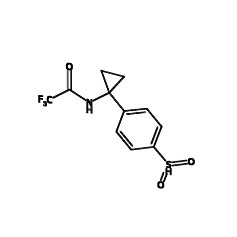 O=C(NC1(c2ccc([SH](=O)=O)cc2)CC1)C(F)(F)F